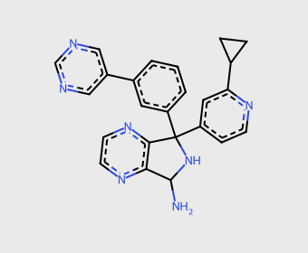 NC1NC(c2cccc(-c3cncnc3)c2)(c2ccnc(C3CC3)c2)c2nccnc21